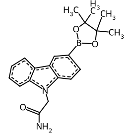 CC1(C)OB(c2ccc3c(c2)c2ccccc2n3CC(N)=O)OC1(C)C